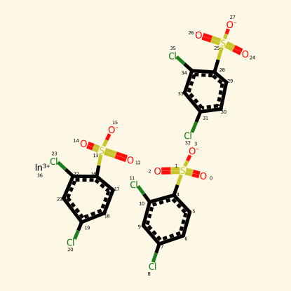 O=S(=O)([O-])c1ccc(Cl)cc1Cl.O=S(=O)([O-])c1ccc(Cl)cc1Cl.O=S(=O)([O-])c1ccc(Cl)cc1Cl.[In+3]